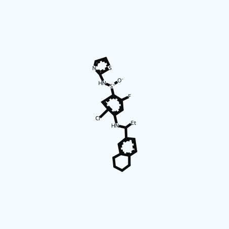 CCC(Nc1cc(F)c([S+]([O-])Nc2nccs2)cc1Cl)c1ccc2c(c1)CCCC2